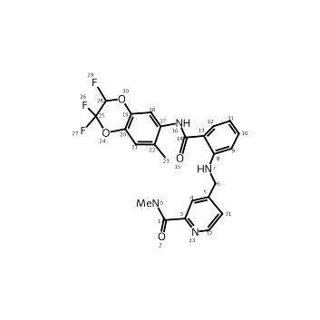 CNC(=O)c1cc(CNc2ccccc2C(=O)Nc2cc3c(cc2C)OC(F)(F)C(F)O3)ccn1